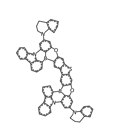 c1ccc2c(c1)CCCN2c1cc2c3c(c1)-n1c4ccccc4c4cccc(c41)B3c1cc3c(cc1O2)sc1cc2c(cc13)B1c3c(cc(N4CCCc5ccccc54)cc3-n3c4ccccc4c4cccc1c43)O2